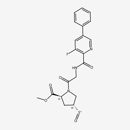 COC(=O)[C@@H]1C[C@@H]([S+]=O)CN1C(=O)CNC(=O)c1ncc(-c2ccccc2)cc1F